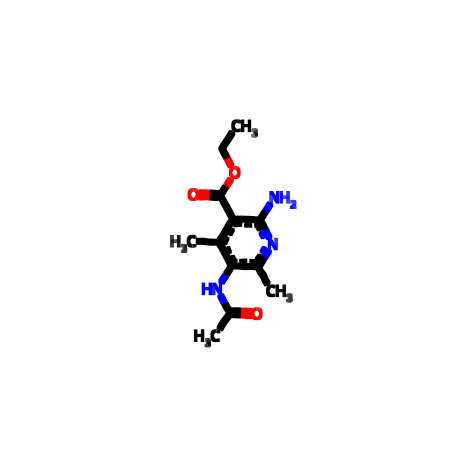 CCOC(=O)c1c(N)nc(C)c(NC(C)=O)c1C